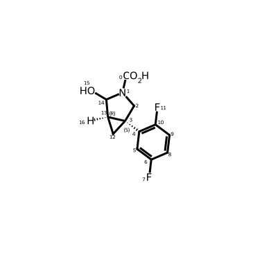 O=C(O)N1C[C@@]2(c3cc(F)ccc3F)C[C@H]2C1O